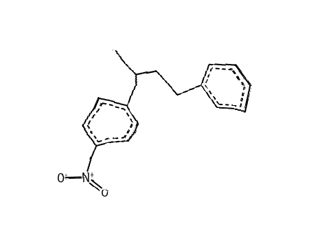 [CH2]C(CCc1ccccc1)c1ccc([N+](=O)[O-])cc1